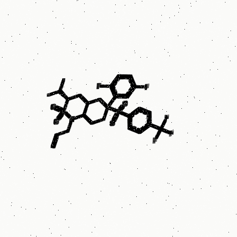 C=CCN1C2CCC(c3cc(F)ccc3F)(S(=O)(=O)c3ccc(C(F)(F)F)cc3)CC2C[C@H](C(C)C)S1(=O)=O